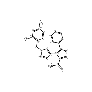 NC(=O)c1noc(-c2ccccn2)c1-c1cnn(Cc2ccc(C(F)(F)F)cc2C(F)(F)F)c1